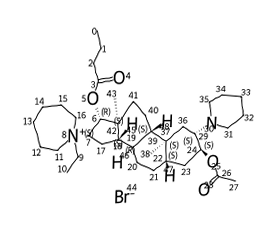 CCCC(=O)O[C@H]1[C@@H]([N+]2(CC)CCCCCC2)C[C@H]2[C@@H]3CC[C@H]4C[C@H](OC(C)=O)[C@@H](N5CCCCC5)C[C@]4(C)[C@H]3CC[C@@]21C.[Br-]